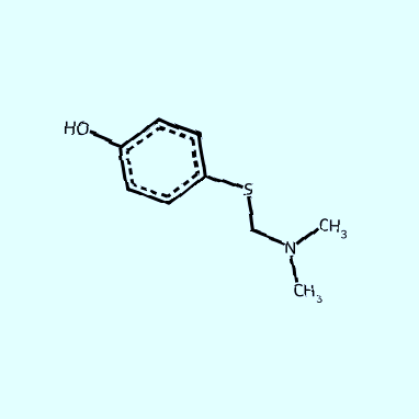 CN(C)CSc1ccc(O)cc1